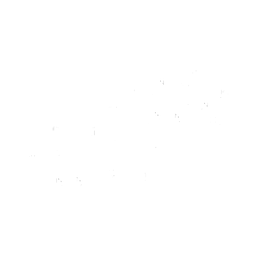 Cc1c(-n2nc(N(C(=O)O)C(C)(C)C)c(=O)[nH]c2=O)cc(Cl)c(Oc2cc(C(C)C)c(=O)[nH]n2)c1Cl